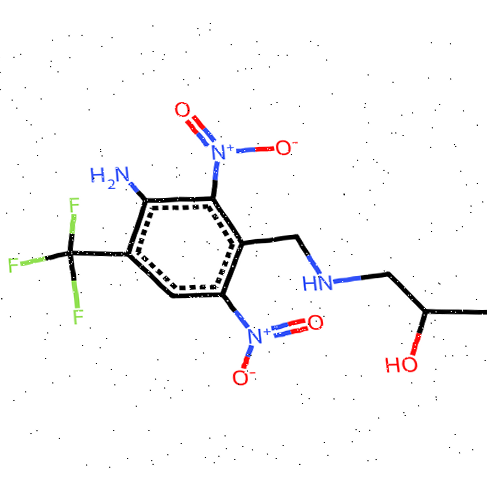 CC(O)CNCc1c([N+](=O)[O-])cc(C(F)(F)F)c(N)c1[N+](=O)[O-]